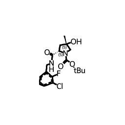 CC(C)(C)OC(=O)N1C[C@@](C)(O)C[C@H]1C(=O)NCc1cccc(Cl)c1F